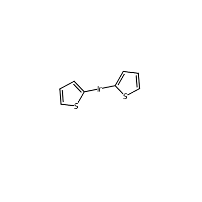 c1cs[c]([Ir][c]2cccs2)c1